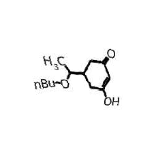 CCCCOC(C)C1CC(=O)C=C(O)C1